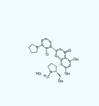 CN1CC[C@H](c2c(O)cc(O)c3c(=O)cc(-c4cccc(N5CCCC5)c4Cl)oc23)[C@H]1CO.Cl